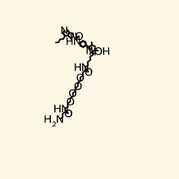 CCCCc1cncc2c1CN(C(=O)Nc1ccc(C3=NN(CCCCCNC(=O)CCOCCOCCOCCOCCNC(=O)CCN)C(O)CC3C)cc1)C2